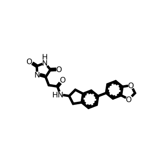 O=C(CC1=NC(=O)NC1=O)NC1Cc2ccc(-c3ccc4c(c3)OCO4)cc2C1